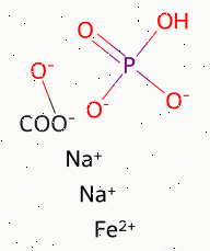 O=C([O-])[O-].O=P([O-])([O-])O.[Fe+2].[Na+].[Na+]